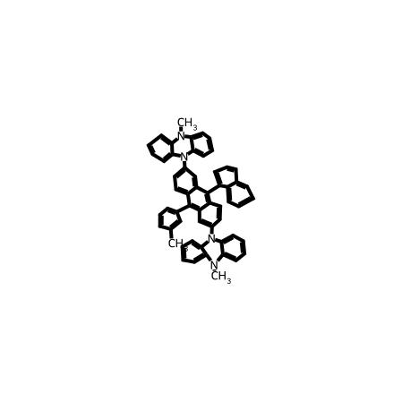 Cc1cccc(-c2c3cc(N4c5ccccc5N(C)c5ccccc54)ccc3c(-c3cccc4ccccc34)c3cc(N4c5ccccc5N(C)c5ccccc54)ccc23)c1